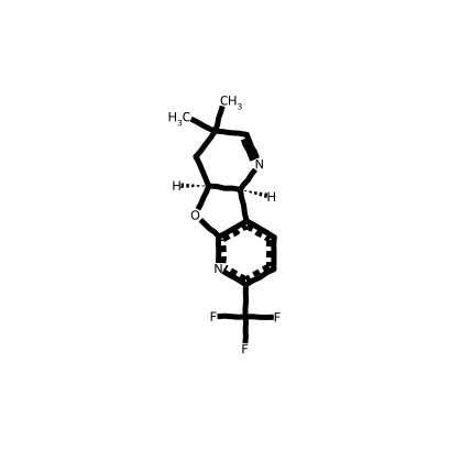 CC1(C)C=N[C@H]2c3ccc(C(F)(F)F)nc3O[C@H]2C1